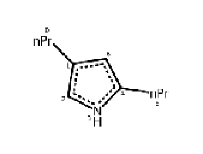 CCCc1c[nH]c(CCC)c1